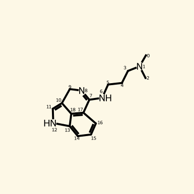 CN(C)CCCNC1=NCc2c[nH]c3cccc1c23